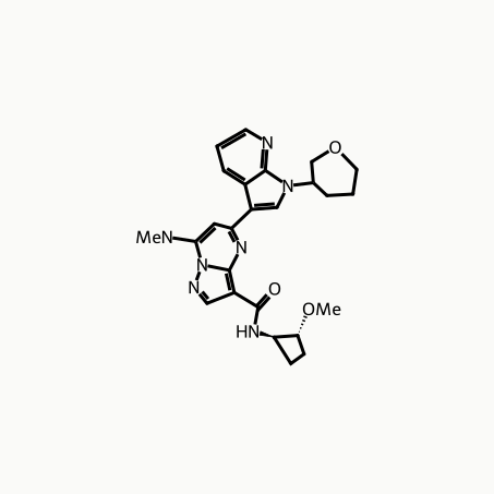 CNc1cc(-c2cn(C3CCCOC3)c3ncccc23)nc2c(C(=O)N[C@@H]3CC[C@H]3OC)cnn12